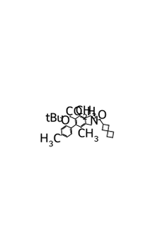 Cc1ccc(-c2c(C)c3c(c(C)c2C(OC(C)(C)C)C(=O)O)CN(C(=O)C2CC4(CCC4)C2)C3)cc1